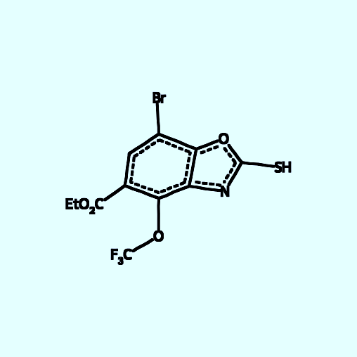 CCOC(=O)c1cc(Br)c2oc(S)nc2c1OC(F)(F)F